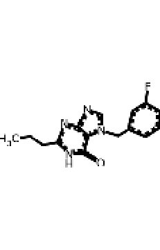 CCCc1nc2ncn(Cc3cccc(F)c3)c2c(=O)[nH]1